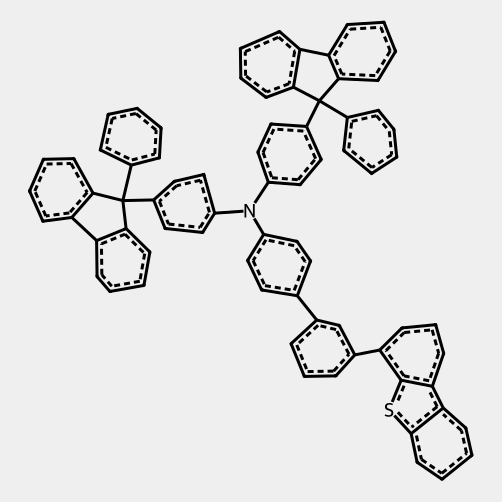 c1ccc(C2(c3ccc(N(c4ccc(-c5cccc(-c6cccc7c6sc6ccccc67)c5)cc4)c4ccc(C5(c6ccccc6)c6ccccc6-c6ccccc65)cc4)cc3)c3ccccc3-c3ccccc32)cc1